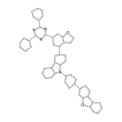 c1ccc(-c2nc(-c3ccccc3)nc(-c3cc(-c4ccc5c(c4)c4ccccc4n5-c4ccc(-c5ccc6c(c5)oc5ccccc56)cc4)c4ccoc4c3)n2)cc1